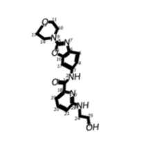 O=C(Nc1ccc2nc(N3CCOCC3)oc2c1)c1cccc(NCCO)n1